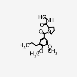 CCCc1cc(C(=O)N2CCCC2C(=O)NO)cc(OC)c1OC